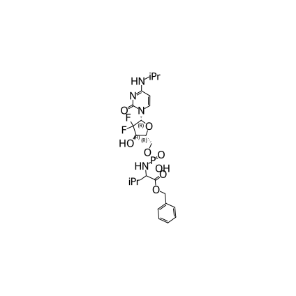 CC(C)Nc1ccn([C@@H]2O[C@H](COP(=O)(O)NC(C(=O)OCc3ccccc3)C(C)C)[C@@H](O)C2(F)F)c(=O)n1